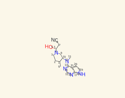 CC1CCN(C(O)CC#N)CC1N(C)c1ncnc2[nH]ccc12